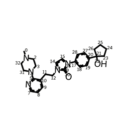 CN1CCN(c2ncccc2CCn2ccn(-c3ccc(C4(O)CCCC4)cc3)c2=O)CC1